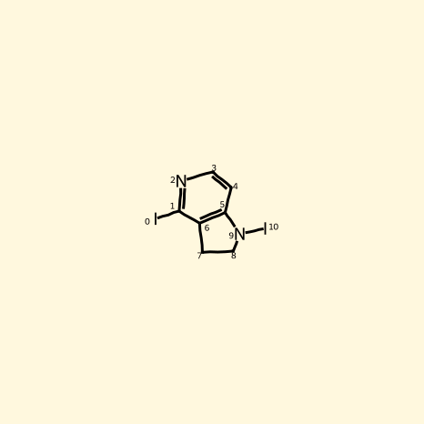 Ic1nccc2c1CCN2I